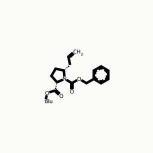 C=CC[C@H]1CC[C@@H](C(=O)OC(C)(C)C)N1C(=O)OCc1ccccc1